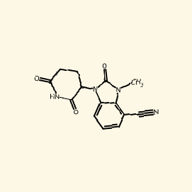 Cn1c(=O)n(C2CCC(=O)NC2=O)c2cccc(C#N)c21